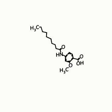 CCCCCCCCCC(=O)Nc1ccc(C(=O)O)c(OC)c1